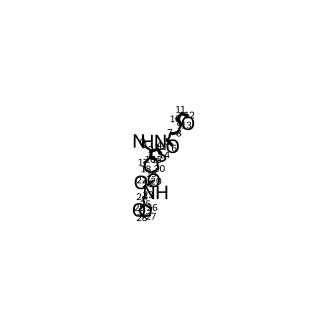 N#Cc1c(NC(=O)C=Cc2ccco2)sc2c1CCC(OC(=O)NCC1CCCO1)C2